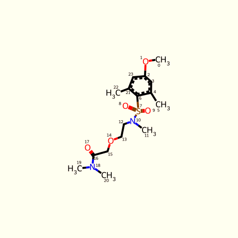 COc1cc(C)c(S(=O)(=O)N(C)CCOCC(=O)N(C)C)c(C)c1